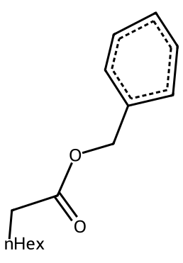 CCCCCCCC(=O)OCc1ccccc1